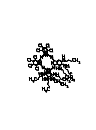 CCCCNc1cc2c(c(NCCCC)c1NCCCC)-c1nc-2nc2[nH]c(nc3nc(nc4c5c(NCCCC)c(NCCCC)c(NCCCC)c(NCCCC)c5c(n1)n4NCCCC)-c1c(Cl)c(Cl)c(Cl)c(Cl)c1-3)c1c(Cl)c(Cl)c(Cl)c(Cl)c21